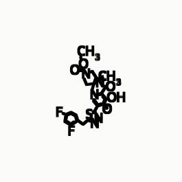 CCOC(=O)N1CCC2(CC1)Cn1cc(-c3nnc(Cc4ccc(F)cc4F)s3)c(=O)c(O)c1C(=O)N2C